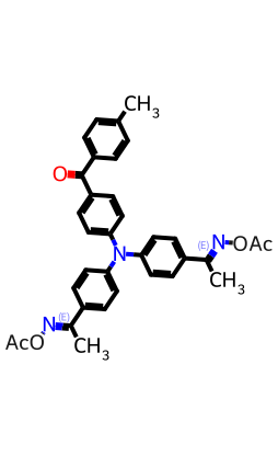 CC(=O)O/N=C(\C)c1ccc(N(c2ccc(C(=O)c3ccc(C)cc3)cc2)c2ccc(/C(C)=N/OC(C)=O)cc2)cc1